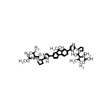 COC(=O)N[C@H](C(=O)N1CCCC1c1ncc(-c2ccc3c(c2)C(C)(C)c2cc(-c4cnc([C@@H]5CCCN5C(=O)[C@H](C(C)C)N(C)C(=O)O)[nH]4)ccc2-3)[nH]1)C(C)C